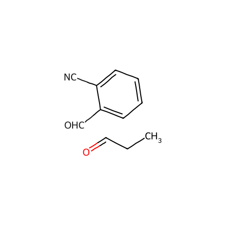 CCC=O.N#Cc1ccccc1C=O